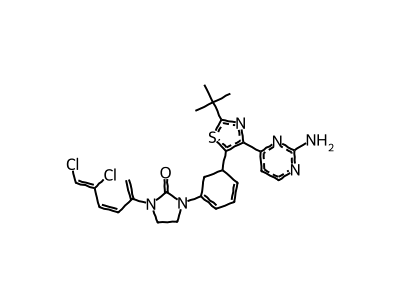 C=C(/C=C\C(Cl)=C\Cl)N1CCN(C2=CC=CC(c3sc(C(C)(C)C)nc3-c3ccnc(N)n3)C2)C1=O